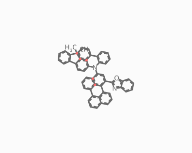 CC1(C)c2ccccc2-c2ccc(N(c3ccc(-c4cccc5cccc(-c6ccccc6)c45)c(-c4nc5ccccc5o4)c3)c3ccccc3-c3ccccc3)cc21